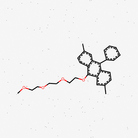 COCCOCCOCCOc1c2cc(C)ccc2c(-c2ccccc2)c2cc(C)ccc12